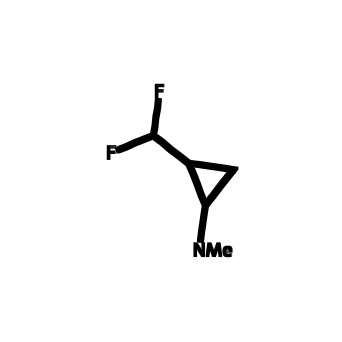 CNC1CC1C(F)F